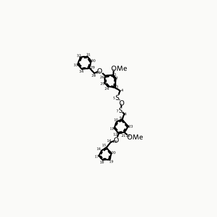 COc1cc(CSOSCc2ccc(OCc3ccccc3)c(OC)c2)ccc1OCc1ccccc1